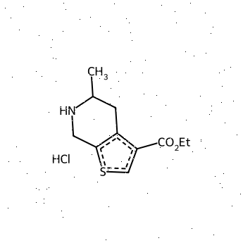 CCOC(=O)c1csc2c1CC(C)NC2.Cl